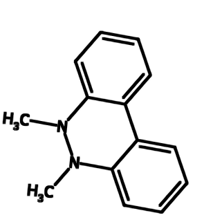 CN1c2ccccc2-c2ccccc2N1C